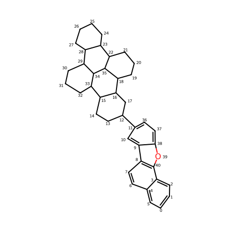 c1ccc2c(c1)ccc1c3cc(C4CCC5C(C4)C4CCCC6C7CCCCC7C7CCCC5C7C64)ccc3oc21